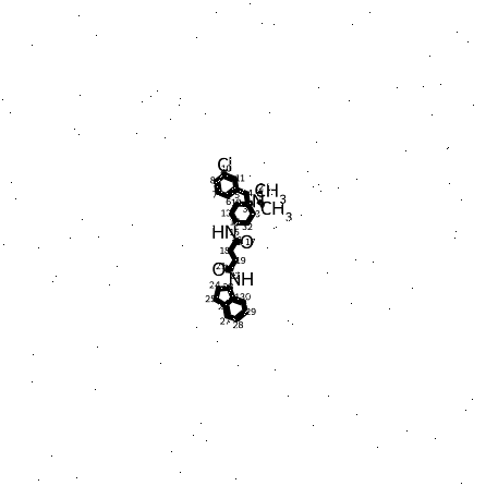 CN(C)C1(Cc2cccc(Cl)c2)CCC(NC(=O)CCC(=O)NC2CCc3ccccc32)CC1